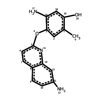 Cc1cc(Oc2ccc3ccc(N)cc3n2)c(N)cc1O